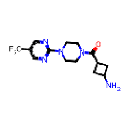 NC1CC(C(=O)N2CCN(c3ncc(C(F)(F)F)cn3)CC2)C1